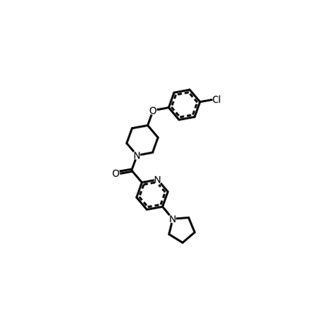 O=C(c1ccc(N2CCCC2)cn1)N1CCC(Oc2ccc(Cl)cc2)CC1